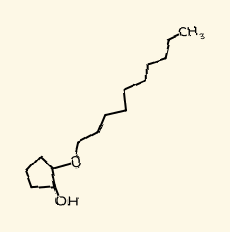 CCCCCCCCCCOC1CCCC1O